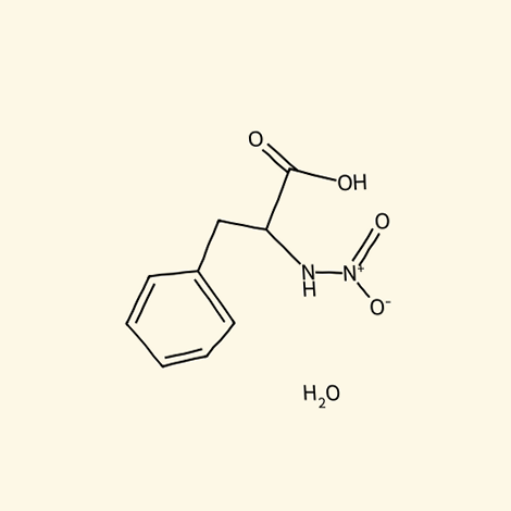 O.O=C(O)C(Cc1ccccc1)N[N+](=O)[O-]